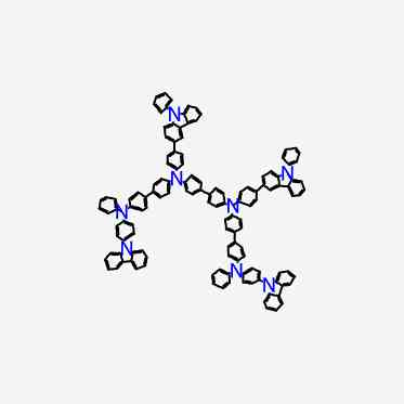 c1ccc(N(c2ccc(-c3ccc(N(c4ccc(-c5ccc(N(c6ccc(-c7ccc(N(c8ccccc8)c8ccc(-n9c%10ccccc%10c%10ccccc%109)cc8)cc7)cc6)c6ccc(-c7ccc8c(c7)c7ccccc7n8-c7ccccc7)cc6)cc5)cc4)c4ccc(-c5ccc6c(c5)c5ccccc5n6-c5ccccc5)cc4)cc3)cc2)c2ccc(-n3c4ccccc4c4ccccc43)cc2)cc1